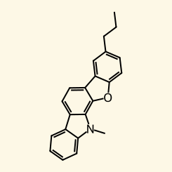 CCCc1ccc2oc3c(ccc4c5ccccc5n(C)c43)c2c1